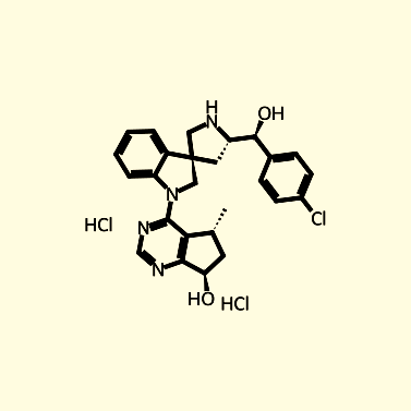 C[C@@H]1C[C@@H](O)c2ncnc(N3C[C@]4(CN[C@H]([C@@H](O)c5ccc(Cl)cc5)C4)c4ccccc43)c21.Cl.Cl